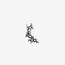 CCOC(=O)C(CCCN(c1cc2nn(-c3ccc(Br)cc3)c(C(=O)NC)c2cc1C1CC1)S(C)(=O)=O)C(=O)OCC